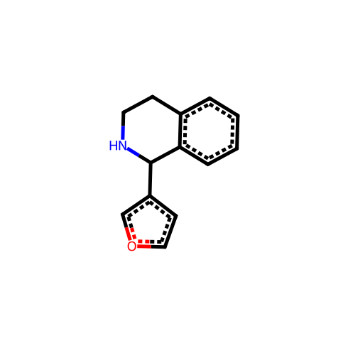 c1ccc2c(c1)CCNC2c1ccoc1